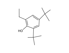 CCc1cc(C(C)(C)C)cc(C(C)(C)C)c1O